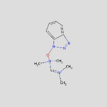 C[N+](C)=C[N+](C)(C)On1nnc2ccccc21